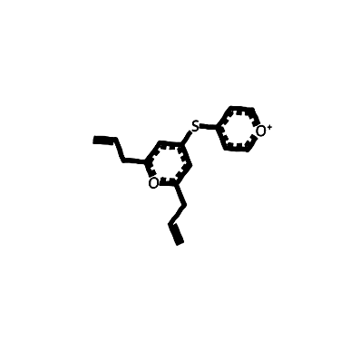 C=CCc1cc(Sc2cc[o+]cc2)cc(CC=C)[o+]1